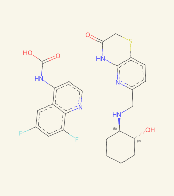 O=C(O)Nc1ccnc2c(F)cc(F)cc12.O=C1CSc2ccc(CN[C@@H]3CCCC[C@H]3O)nc2N1